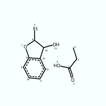 CCC(=O)O.CCC1Oc2ccccc2C1O